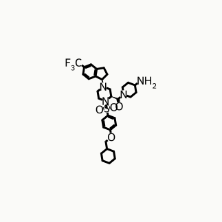 NC1CCN(C(=O)[C@@H]2CN([C@@H]3CCc4cc(C(F)(F)F)ccc43)CCN2S(=O)(=O)c2ccc(OCC3CCCCC3)cc2)CC1